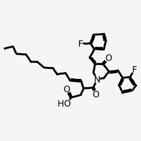 CCCCCCCCCC/C=C/C(CC(=O)O)C(=O)N1C/C(=C/c2ccccc2F)C(=O)/C(=C/c2ccccc2F)C1